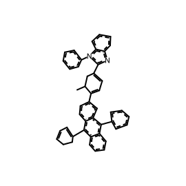 CC1CC(c2nc3ccccc3n2-c2ccccc2)=CC=C1c1ccc2c(C3=CC=CCC3)c3ccccc3c(-c3ccccc3)c2c1